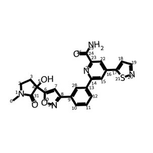 CN1CCC(O)(c2cc(-c3cccc(-c4cc(-c5ccns5)cc(C(N)=O)n4)c3)no2)C1=O